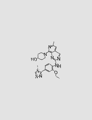 CCOc1cc(-c2nncn2C)ccc1Nc1ncc2cc(C)nc(N3CCC(O)CC3)c2n1